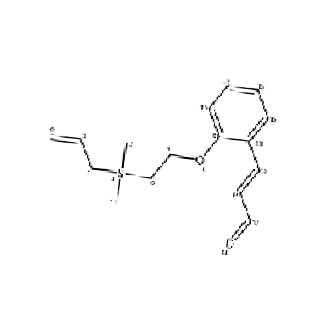 C=CC[Si](C)(C)CCOc1ccccc1/C=C/C=O